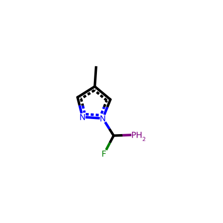 Cc1cnn(C(F)P)c1